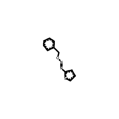 c1ccc(CON=Nc2cccs2)cc1